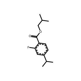 CC(C)COC(=O)c1ccc(C(C)C)cc1F